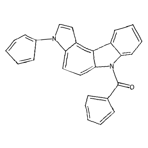 O=C(c1ccccc1)n1c2ccccc2c2c3ccn(-c4ccccc4)c3ccc21